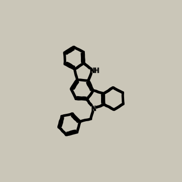 c1ccc(Cn2c3c(c4c5[nH]c6ccccc6c5ccc42)CCCC3)cc1